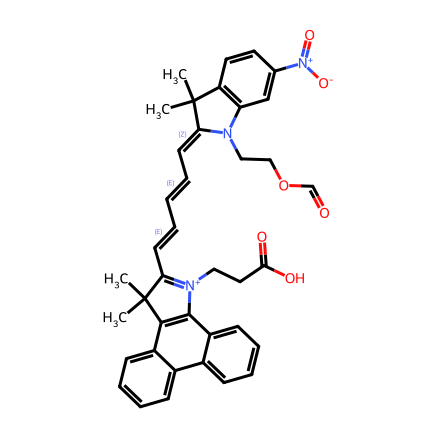 CC1(C)C(/C=C/C=C/C=C2\N(CCOC=O)c3cc([N+](=O)[O-])ccc3C2(C)C)=[N+](CCC(=O)O)c2c1c1ccccc1c1ccccc21